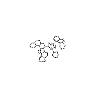 c1ccc(-c2nc(-c3cccc4sc5ccccc5c34)nc(-c3cc4ccc5ccccc5c4c4oc5c6ccccc6ccc5c34)n2)cc1